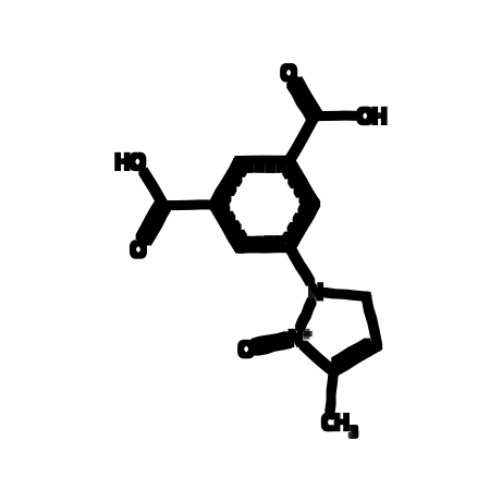 CC1=CCN(c2cc(C(=O)O)cc(C(=O)O)c2)[N+]1=O